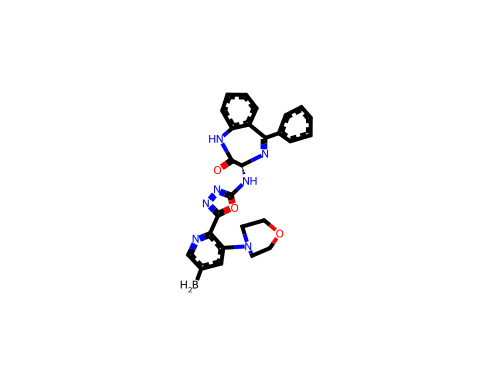 Bc1cnc(-c2nnc(N[C@H]3N=C(c4ccccc4)c4ccccc4NC3=O)o2)c(N2CCOCC2)c1